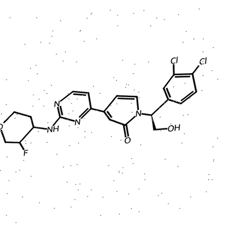 O=c1cc(-c2ccnc(NC3CCOCC3F)n2)ccn1[C@H](CO)c1ccc(Cl)c(Cl)c1